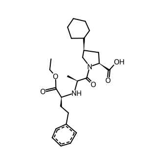 CCOC(=O)[C@H](CCc1ccccc1)N[C@@H](C)C(=O)N1C[C@@H](C2CCCCC2)C[C@H]1C(=O)O